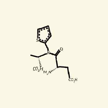 C[C@@H](C(=O)O)N(C(=O)[C@@H](N)CC(=O)O)c1cccs1